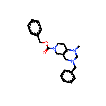 CN1CN(Cc2ccccc2)CC2=C1CCN(C(=O)OCc1ccccc1)C2